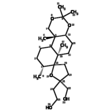 C[C@@H]1CCC2[C@]3(C)COC(C)(C)OC3CC[C@@]2(C)C12CCC(CO)(CCO)O2